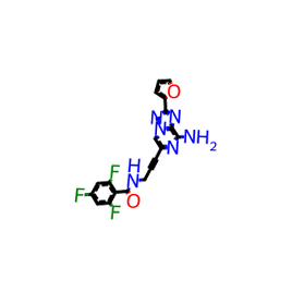 Nc1nc(C#CCNC(=O)c2c(F)cc(F)cc2F)cn2nc(-c3ccco3)nc12